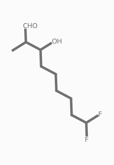 CC(C=O)C(O)CCCCCC(F)F